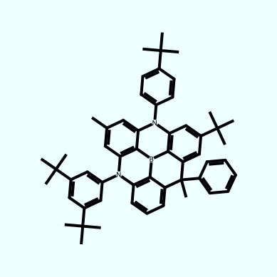 Cc1cc2c3c(c1)N(c1ccc(C(C)(C)C)cc1)c1cc(C(C)(C)C)cc4c1B3c1c(cccc1C4(C)c1ccccc1)N2c1cc(C(C)(C)C)cc(C(C)(C)C)c1